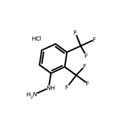 Cl.NNc1cccc(C(F)(F)F)c1C(F)(F)F